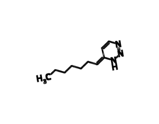 CCCCCCC=C1C=CN=NN1